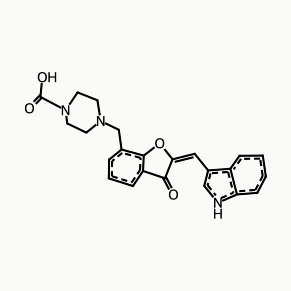 O=C1C(=Cc2c[nH]c3ccccc23)Oc2c(CN3CCN(C(=O)O)CC3)cccc21